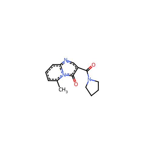 Cc1cccc2ncc(C(=O)N3CCCC3)c(=O)n12